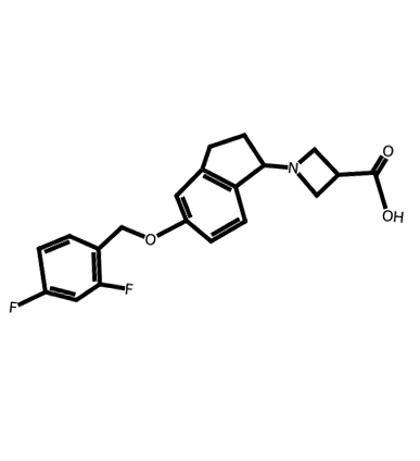 O=C(O)C1CN(C2CCc3cc(OCc4ccc(F)cc4F)ccc32)C1